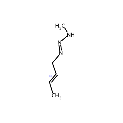 C/C=C/CN=NNC